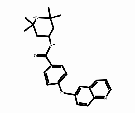 CC1(C)CC(NC(=O)c2ccc(Oc3ccc4ncccc4c3)cc2)CC(C)(C)N1